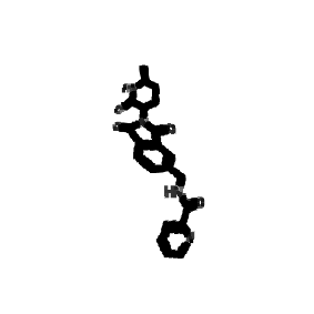 C=C1CCC(N2C(=O)c3ccc(CNC(=O)c4ccccn4)cc3C2=O)C(=O)N1